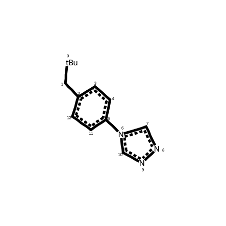 CC(C)(C)Cc1ccc(-n2cnnc2)cc1